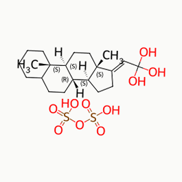 C[C@]12CCCCC1CC[C@@H]1[C@@H]2CC[C@]2(C)C(=CC(O)(O)O)CC[C@@H]12.O=S(=O)(O)OS(=O)(=O)O